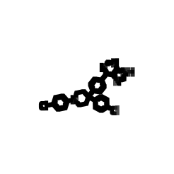 Clc1ccc(N2CCC(c3ccc(Cl)cc3)(c3ccc(-c4ncnc5[nH]cnc45)cc3)CC2)cc1